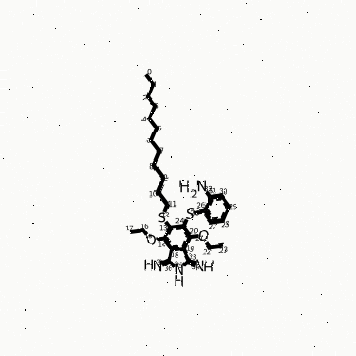 CCCCCCCCCCCCSc1c(OCC)c2c(c(OCC)c1Sc1ccccc1N)C(=N)NC2=N